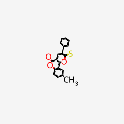 Cc1ccc2oc(=O)c3cc(-c4ccccc4)c(=S)oc3c2c1